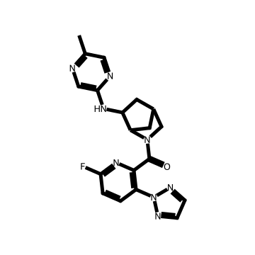 Cc1cnc(NC2CC3CC2N(C(=O)c2nc(F)ccc2-n2nccn2)C3)cn1